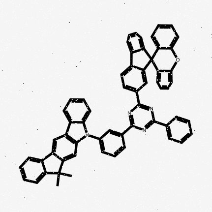 CC1(C)c2ccccc2-c2cc3c4ccccc4n(-c4cccc(-c5nc(-c6ccccc6)nc(-c6ccc7c(c6)C6(c8ccccc8Oc8ccccc86)c6ccccc6-7)n5)c4)c3cc21